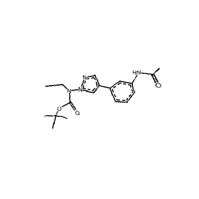 CCN(C(=O)OC(C)(C)C)n1cc(-c2cccc(NC(C)=O)c2)cn1